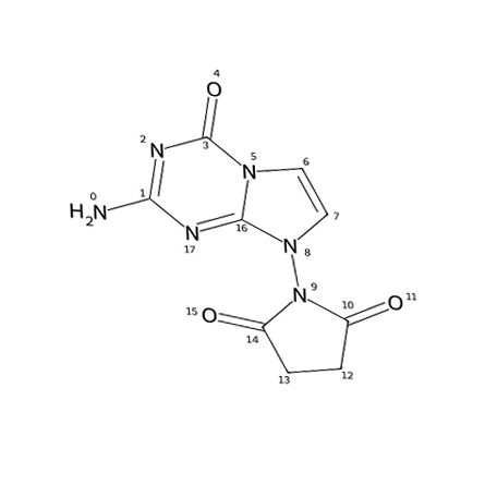 Nc1nc(=O)n2ccn(N3C(=O)CCC3=O)c2n1